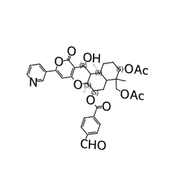 CC(=O)OCC1(C)C2C[C@H](OC(=O)c3ccc(C=O)cc3)[C@@]3(C)Oc4cc(-c5cccnc5)oc(=O)c4[C@H](O)C3[C@@]2(C)CC[C@@H]1OC(C)=O